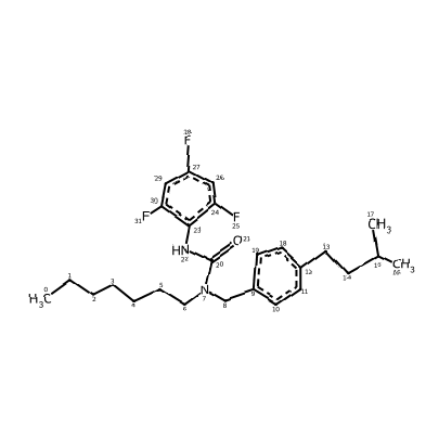 CCCCCCCN(Cc1ccc(CCC(C)C)cc1)C(=O)Nc1c(F)cc(F)cc1F